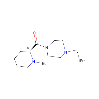 CCN1CCCC[C@H]1C(=O)N1CCN(C[C](C)C)CC1